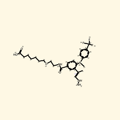 C/C(=C\NN)c1cc(C(=O)NCCOCCCCCCC(=O)O)ccc1N(C)c1ccc(C(F)(F)F)cc1